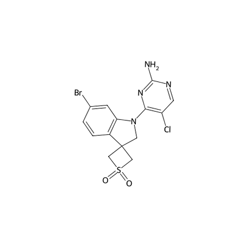 Nc1ncc(Cl)c(N2CC3(CS(=O)(=O)C3)c3ccc(Br)cc32)n1